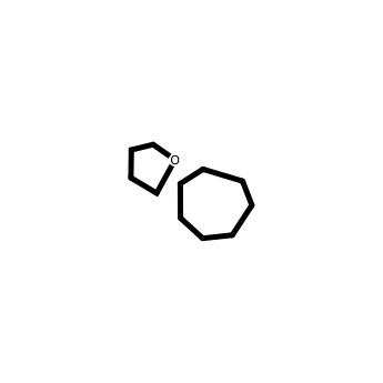 C1CCCCCC1.C1CCOC1